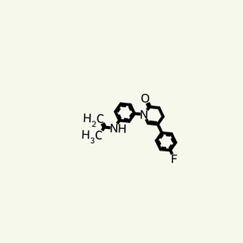 C=C(C)Nc1cccc(N2C=C(c3ccc(F)cc3)CCC2=O)c1